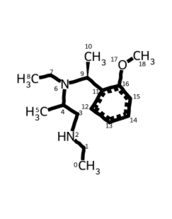 CCNCC(C)N(CC)[C@@H](C)c1ccccc1OC